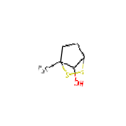 OC1C2CCC1(C(F)(F)F)SS2